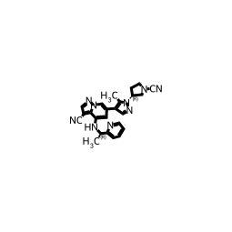 Cc1c(-c2cc(N[C@H](C)c3ccccn3)c3c(C#N)cnn3c2)cnn1[C@@H]1CCN(C#N)C1